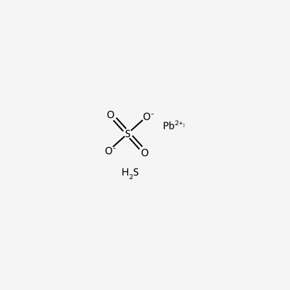 O=S(=O)([O-])[O-].S.[Pb+2]